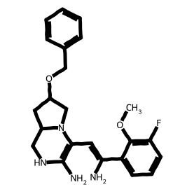 COc1c(F)cccc1/C(N)=C/C1=C(N)NCC2CC(OCc3ccccc3)CN12